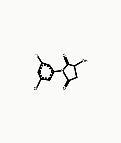 O=C1CC(O)C(=O)N1c1cc(Cl)cc(Cl)c1